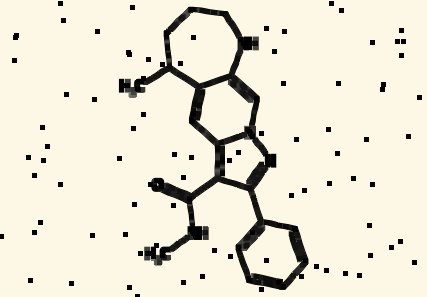 CNC(=O)c1c(-c2ccccc2)nn2cc3c(cc12)C(C)CCCN3